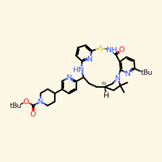 CC(C)(C)OC(=O)N1CCC(c2ccc(C3CC[C@@H]4CN(c5nc(C(C)(C)C)ccc5C(=O)NSc5cccc(n5)N3)C(C)(C)C4)nc2)CC1